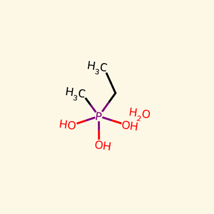 CCP(C)(O)(O)O.O